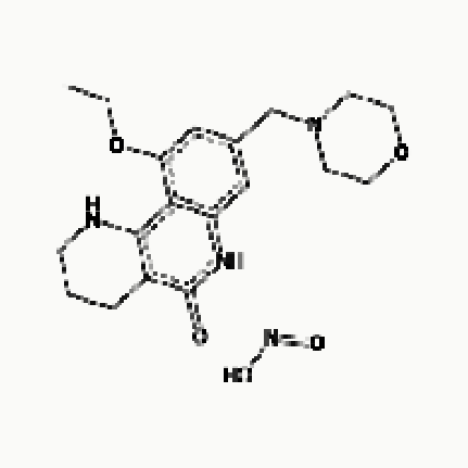 CCOc1cc(CN2CCOCC2)cc2[nH]c(=O)c3c(c12)NCCC3.O=NO